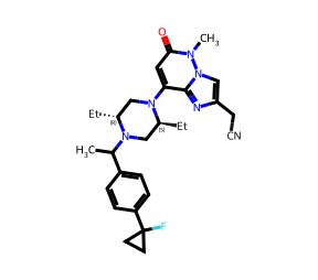 CC[C@H]1CN(C(C)c2ccc(C3(F)CC3)cc2)[C@H](CC)CN1c1cc(=O)n(C)n2cc(CC#N)nc12